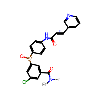 CCN(CC)C(=O)c1cc(Cl)cc([S+]([O-])c2ccc(NC(=O)/C=C/c3cccnc3)cc2)c1